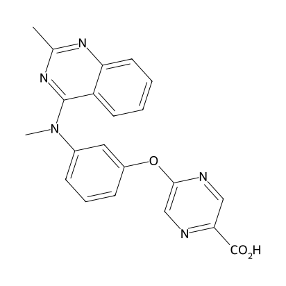 Cc1nc(N(C)c2cccc(Oc3cnc(C(=O)O)cn3)c2)c2ccccc2n1